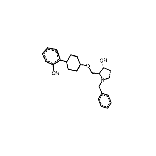 Oc1ccccc1C1CCC(OC[C@H]2[C@H](O)CCN2Cc2ccccc2)CC1